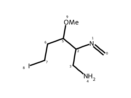 C=NC(CN)C(CCI)OC